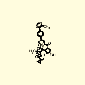 CC[C@H](CCC(=O)[C@@H]1C[C@@H](O)CC1C(=O)C(NC(=O)C1(F)CC1)C(C)(C)C)c1ccc(-c2scnc2C)cc1